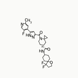 Cc1cc(-c2cc(C(=O)N3CC[C@@H](C(=O)NC4CCC5(CC4)OCCC5(F)F)CC34CC4)n[nH]2)c(F)cn1